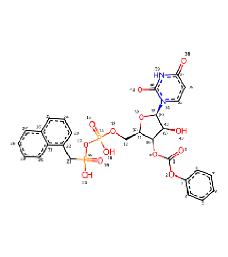 O=C(Oc1ccccc1)OC1[C@@H](COP(=O)(O)OP(=O)(O)Cc2cccc3ccccc23)O[C@@H](n2ccc(=O)[nH]c2=O)[C@H]1O